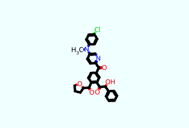 CN(c1ccc(Cl)cc1)c1ccc(C(=O)c2ccc(C(=O)C3CCCO3)c(C(=O)C(O)c3ccccc3)c2)nc1